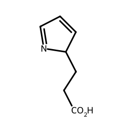 O=C(O)CCC1C=CC=N1